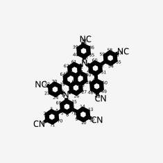 [C-]#[N+]c1ccc(-c2cc(-c3ccc(C#N)cc3)cc(N(c3ccc(C#N)cc3)c3ccc4ccc5c(N(c6ccc([N+]#[C-])cc6)c6cc(-c7ccc(C#N)cc7)cc(-c7ccc([N+]#[C-])cc7)c6)ccc6ccc3c4c65)c2)cc1